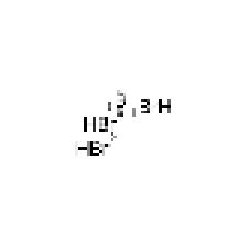 Br.Br.Br.[B]